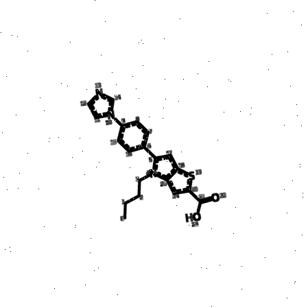 CCCCn1c(-c2ccc(-n3ccnc3)cc2)cc2sc(C(=O)O)cc21